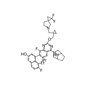 CCc1c(F)ccc2cc(O)cc(-c3c(C(C)C)cc4c(N5CC6CCC(C5)N6)nc(OCC5(CN6CCC7(C6)CC7(F)F)CC5)nc4c3F)c12